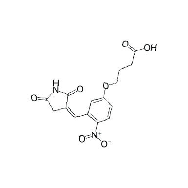 O=C(O)CCCOc1ccc([N+](=O)[O-])c(C=C2CC(=O)NC2=O)c1